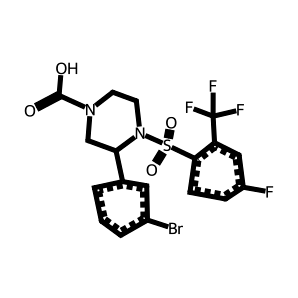 O=C(O)N1CCN(S(=O)(=O)c2ccc(F)cc2C(F)(F)F)C(c2cccc(Br)c2)C1